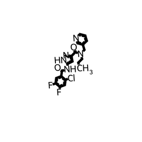 CCCN(Cc1cccnc1)C(=O)c1cc(NC(=O)c2cc(F)c(F)cc2Cl)[nH]n1